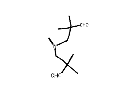 CN(CC(C)(C)C=O)CC(C)(C)C=O